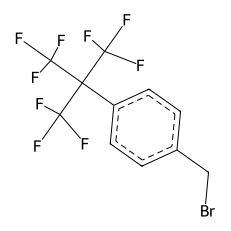 FC(F)(F)C(c1ccc(CBr)cc1)(C(F)(F)F)C(F)(F)F